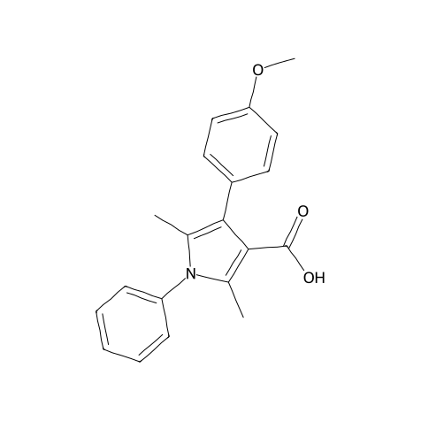 COc1ccc(-c2c(C(=O)O)c(C)n(-c3ccccc3)c2C)cc1